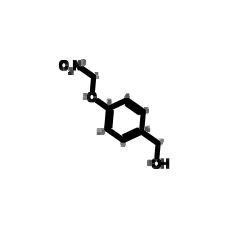 O=[N+]([O-])COc1ccc(CO)cc1